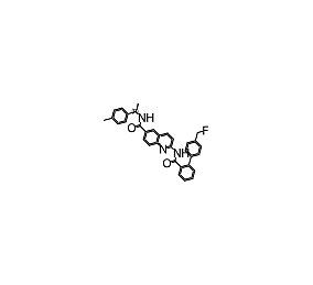 Cc1ccc([C@@H](C)NC(=O)c2ccc3nc(NC(=O)c4ccccc4-c4ccc(CF)cc4)ccc3c2)cc1